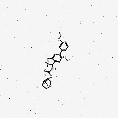 CCOc1cccc(-c2cc3c(cc2OC)C(NC(=O)O[C@H]2CN4CCC2CC4)C(C)(C)C3)c1